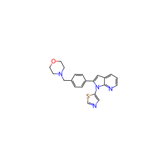 c1cnc2c(c1)cc(-c1ccc(CN3CCOCC3)cc1)n2-c1cncs1